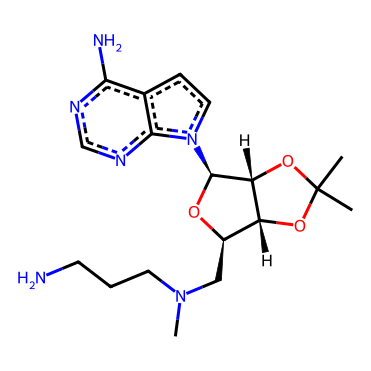 CN(CCCN)C[C@H]1O[C@@H](n2ccc3c(N)ncnc32)[C@@H]2OC(C)(C)O[C@@H]21